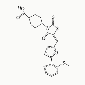 CSc1ccccc1-c1ccc(/C=C2/SC(=S)N(C3CCC(C(=O)O)CC3)C2=O)o1